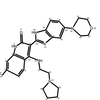 O=c1[nH]c2cc(Cl)ccc2c(NCCN2CCCC2)c1-c1nc2cc(N3CCOCC3)ccc2[nH]1